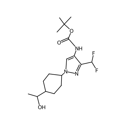 CC(O)C1CCC(n2cc(NC(=O)OC(C)(C)C)c(C(F)F)n2)CC1